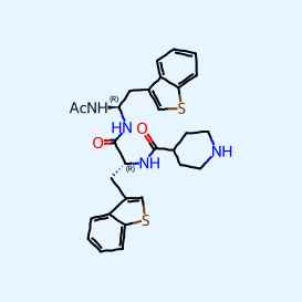 CC(=O)N[C@@H](Cc1csc2ccccc12)NC(=O)[C@@H](Cc1csc2ccccc12)NC(=O)C1CCNCC1